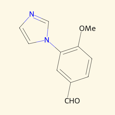 COc1ccc(C=O)cc1-n1ccnc1